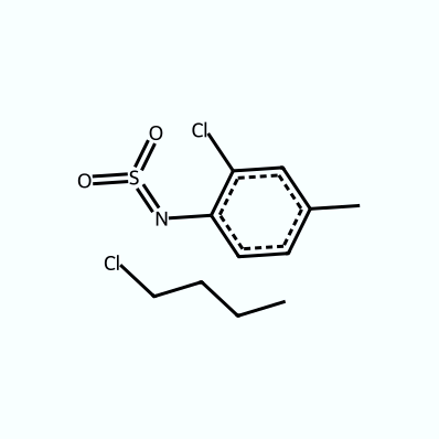 CCCCCl.Cc1ccc(N=S(=O)=O)c(Cl)c1